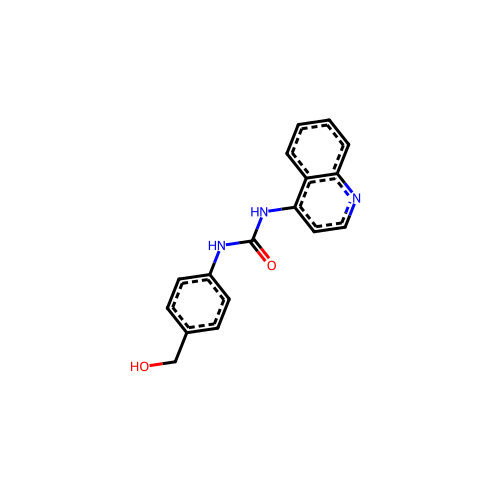 O=C(Nc1ccc(CO)cc1)Nc1ccnc2ccccc12